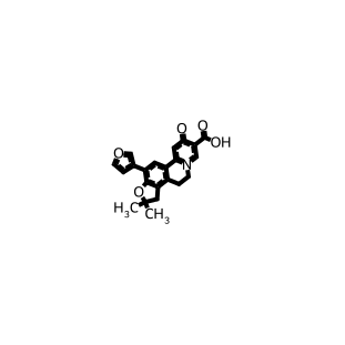 CC1(C)Cc2c3c(cc(-c4ccoc4)c2O1)-c1cc(=O)c(C(=O)O)cn1CC3